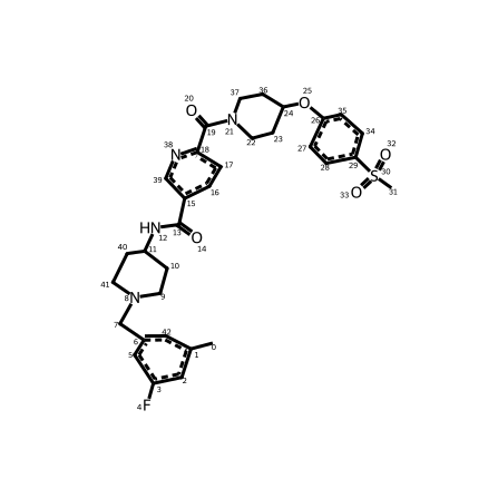 Cc1cc(F)cc(CN2CCC(NC(=O)c3ccc(C(=O)N4CCC(Oc5ccc(S(C)(=O)=O)cc5)CC4)nc3)CC2)c1